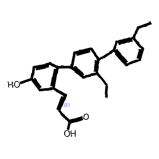 CCc1cccc(-c2ccc(-c3ccc(O)cc3/C=C/C(=O)O)cc2CC)c1